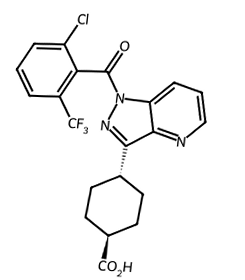 O=C(c1c(Cl)cccc1C(F)(F)F)n1nc([C@H]2CC[C@H](C(=O)O)CC2)c2ncccc21